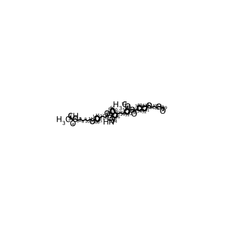 C=C(C)C(=O)OCCCCCCOc1ccc(CCC(=O)Oc2c(C=N)cc(CCc3ccc(OC(=O)c4ccc5cc(OCCCOC6CO6)ccc5c4)c(OC)c3)c3ccccc23)cc1